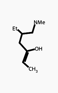 C/C=C(\O)CC(CC)CNC